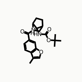 Cc1coc2cc(C(=O)N3CC4CCC3[C@@H]4NC(=O)OC(C)(C)C)ccc12